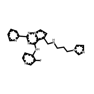 Fc1cnccc1Nc1nc(-c2ccccn2)nn2ccc(CNCCCn3ccnc3)c12